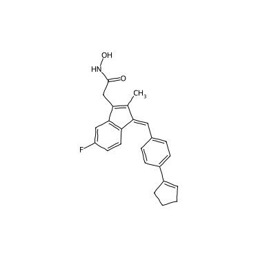 CC1=C(CC(=O)NO)c2cc(F)ccc2/C1=C\c1ccc(C2=CCCC2)cc1